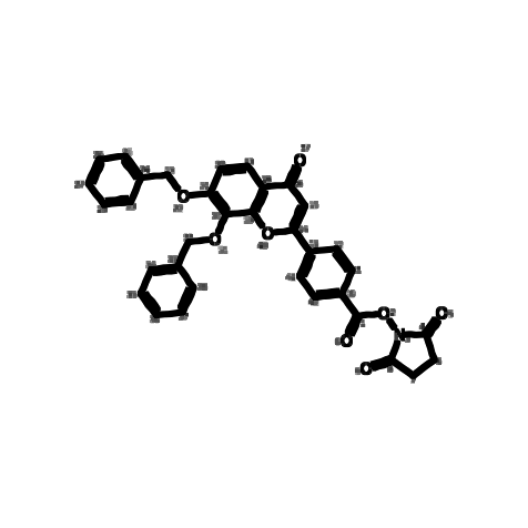 O=C(ON1C(=O)CCC1=O)c1ccc(-c2cc(=O)c3ccc(OCc4ccccc4)c(OCc4ccccc4)c3o2)cc1